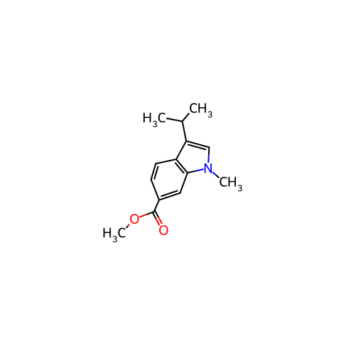 COC(=O)c1ccc2c(C(C)C)cn(C)c2c1